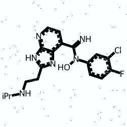 CC(C)NCCc1nc2c(C(=N)N(O)c3ccc(F)c(Cl)c3)ccnc2[nH]1